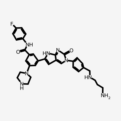 NCCCNCc1ccc(-n2cc3cc(-c4cc(C(=O)Nc5ccc(F)cc5)cc(N5CCNCC5)c4)[nH]c3nc2=O)cc1